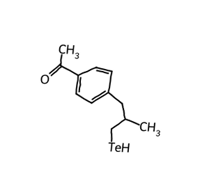 CC(=O)c1ccc(CC(C)C[TeH])cc1